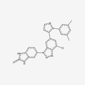 Cc1cc(C)cc(-n2nccc2-c2cc(Cl)c3nnn(-c4ccc5[nH]c(=O)[nH]c5c4)c3c2)c1